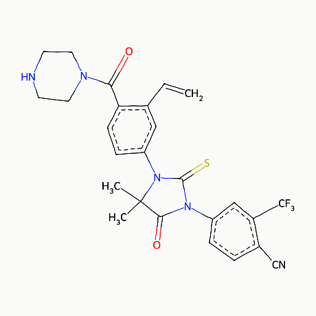 C=Cc1cc(N2C(=S)N(c3ccc(C#N)c(C(F)(F)F)c3)C(=O)C2(C)C)ccc1C(=O)N1CCNCC1